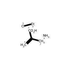 C=C(C)C(=O)O.CCCl.N